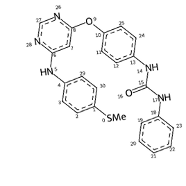 CSc1ccc(Nc2cc(Oc3ccc(NC(=O)Nc4ccccc4)cc3)ncn2)cc1